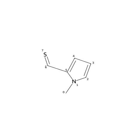 Cn1cccc1[C]=S